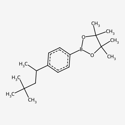 C[C](CC(C)(C)C)c1ccc(B2OC(C)(C)C(C)(C)O2)cc1